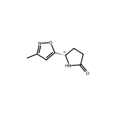 Cc1cc([C@@H]2CCC(=O)N2)on1